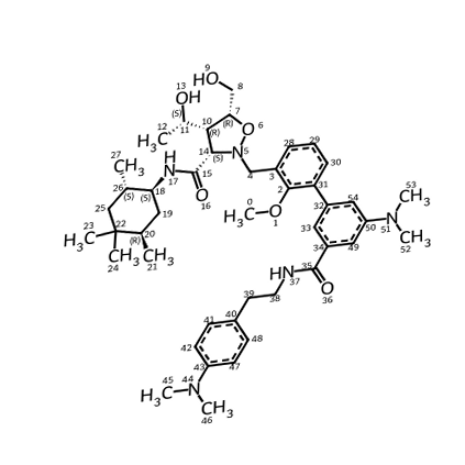 COc1c(CN2O[C@@H](CO)[C@@H]([C@H](C)O)[C@H]2C(=O)N[C@H]2C[C@@H](C)C(C)(C)C[C@@H]2C)cccc1-c1cc(C(=O)NCCc2ccc(N(C)C)cc2)cc(N(C)C)c1